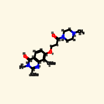 CNc1nc2c(OC)c(OCCC(=O)N3CCN(C)CC3)ccc2c(=O)n1C(C)C